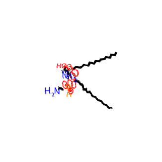 CCCCCCCCCCCCCCCC(=O)OC([C@H](CO[PH](=O)OCCN)OC(=O)CCCCCCCCCCCCCCC)[C@@](C)(N)C(=O)O